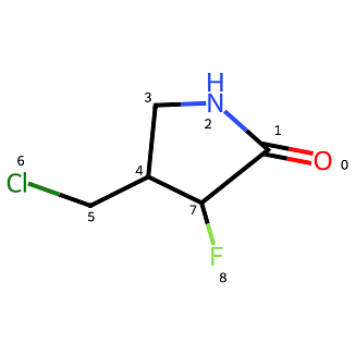 O=C1NCC(CCl)C1F